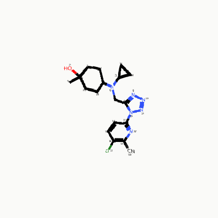 CC1(O)CCC(N(Cc2nnnn2-c2ccc(Cl)c(C#N)n2)C2CC2)CC1